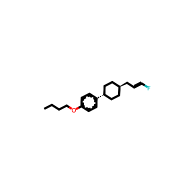 CCCCOc1ccc([C@H]2CC[C@H](CC=CF)CC2)cc1